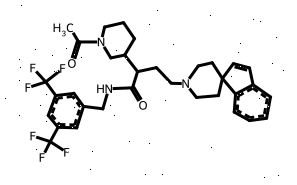 CC(=O)N1CCCC(C(CCN2CCC3(C=Cc4ccccc43)CC2)C(=O)NCc2cc(C(F)(F)F)cc(C(F)(F)F)c2)C1